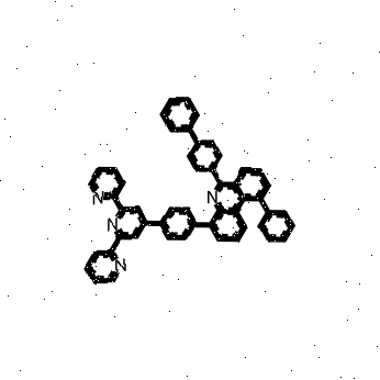 c1ccc(-c2ccc(-c3nc4c(-c5ccc(-c6cc(-c7ccccn7)nc(-c7ccccn7)c6)cc5)cccc4c4c(-c5ccccc5)cccc34)cc2)cc1